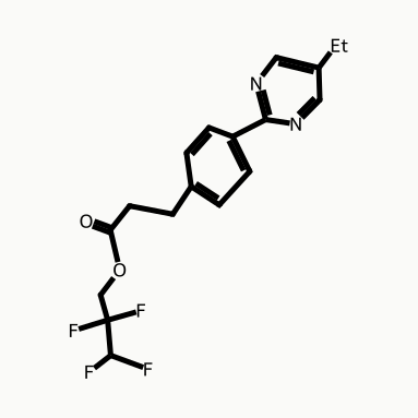 CCc1cnc(-c2ccc(CCC(=O)OCC(F)(F)C(F)F)cc2)nc1